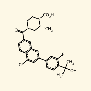 C[C@@H]1CN(C(=O)c2ccc3c(Cl)cc(-c4ccc(C(C)(C)O)c(F)c4)nc3c2)CCN1C(=O)O